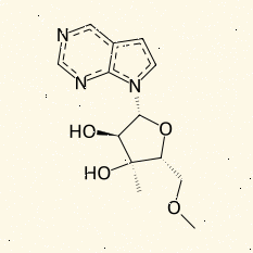 COC[C@H]1O[C@@H](n2ccc3cncnc32)[C@H](O)[C@]1(C)O